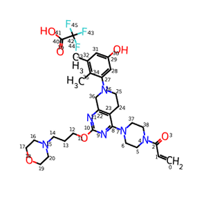 C=CC(=O)N1CCN(c2nc(OCCCN3CCOCC3)nc3c2CCN(c2cc(O)cc(C)c2C)C3)CC1.O=C(O)C(F)(F)F